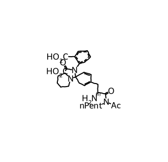 CCCCCN(C(C)=O)C(=O)[C@@H](N)CC1=CCC(N2CCCCC2)(N(C(=O)C(=O)O)c2ccccc2C(=O)O)C=C1